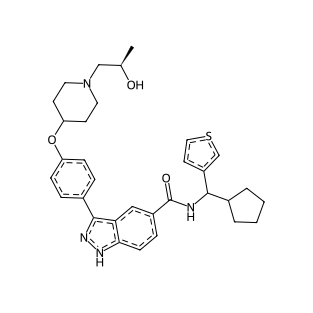 C[C@@H](O)CN1CCC(Oc2ccc(-c3n[nH]c4ccc(C(=O)NC(c5ccsc5)C5CCCC5)cc34)cc2)CC1